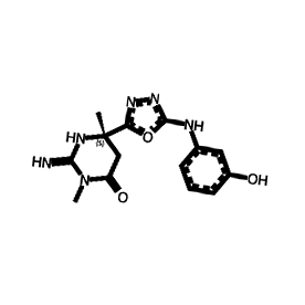 CN1C(=N)N[C@](C)(c2nnc(Nc3cccc(O)c3)o2)CC1=O